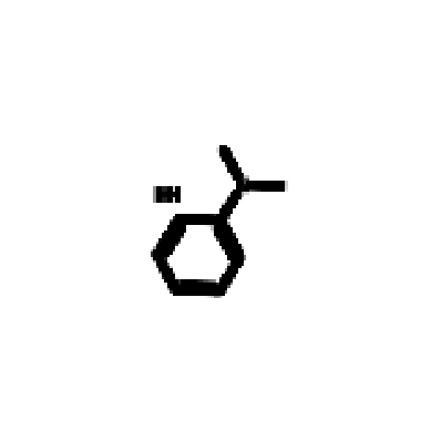 CN(C)c1ccccc1.[HH]